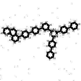 c1ccc(-c2ccc(-c3nc(-c4ccc(-c5ccccc5)cc4)nc(-c4cccc(-c5ccc(-c6ccc(-c7cccc8c7ccc7cccnc78)cc6)cc5)c4)n3)cc2)cc1